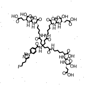 O=C(O)CC[C@H](NC(=O)NC(CCCCNC(=O)CCC(CCC(=O)NCCCC[C@H](NC(=O)N[C@@H](CCC(=O)O)C(=O)O)C(=O)O)(CCC(=O)NCCCC[C@H](NC(=O)N[C@@H](CCC(=O)O)C(=O)O)C(=O)O)NC(=O)c1ccc(-n2cc(CCCF)nn2)cc1)C(=O)O)C(=O)O